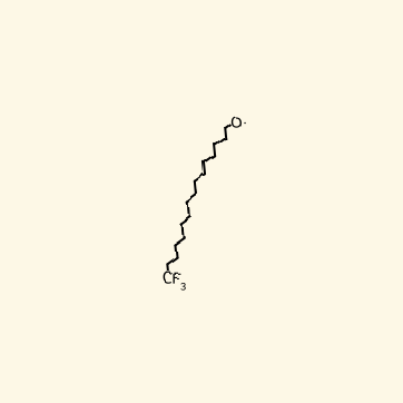 [O]CCCCCCCCCCCCCCCC(F)(F)F